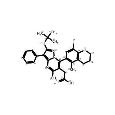 Cc1nc2c(-c3ccccc3)c(OC(C)(C)C)nn2c(-c2cc(F)c3c(c2C)CCCO3)c1CC(=O)O